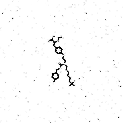 CCOC(Cc1ccc(OCCN(CCCCCCC(F)(F)F)C(=O)OCc2ccc(F)cc2)cc1)C(=O)O